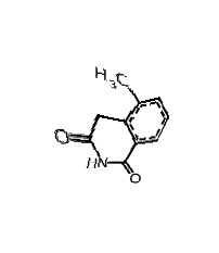 Cc1cccc2c1CC(=O)NC2=O